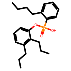 CCCCc1ccccc1P(=O)(O)Oc1cccc(CCC)c1CCC